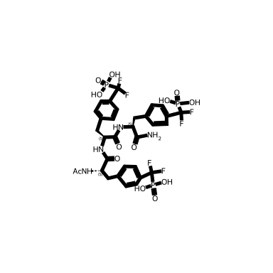 CC(=O)N[C@@H](Cc1ccc(C(F)(F)P(=O)(O)O)cc1)C(=O)N[C@@H](Cc1ccc(C(F)(F)P(=O)(O)O)cc1)C(=O)N[C@@H](Cc1ccc(C(F)(F)P(=O)(O)O)cc1)C(N)=O